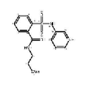 COCCNC(=O)c1ccccc1S(=O)(=O)Nc1cccnc1